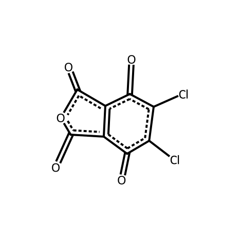 O=c1oc(=O)c2c(=O)c(Cl)c(Cl)c(=O)c1=2